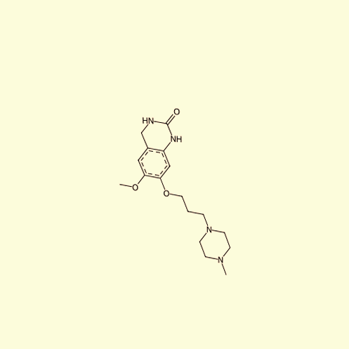 COc1cc2c(cc1OCCCN1CCN(C)CC1)NC(=O)NC2